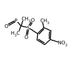 Cc1cc([N+](=O)[O-])ccc1S(=O)(=O)C(C)(C)P=O